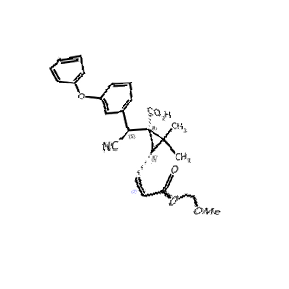 COCOC(=O)/C=C\[C@H]1C(C)(C)[C@]1(C(=O)O)[C@@H](C#N)c1cccc(Oc2ccccc2)c1